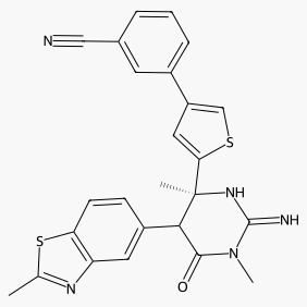 Cc1nc2cc(C3C(=O)N(C)C(=N)N[C@]3(C)c3cc(-c4cccc(C#N)c4)cs3)ccc2s1